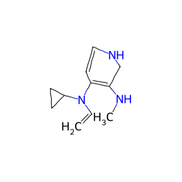 C=CN(C1=C(NC)CNC=C1)C1CC1